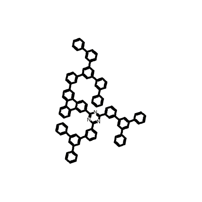 c1ccc(-c2cccc(-c3cc(-c4cccc(-c5ccccc5)c4)cc(-c4cccc(-c5ccc6c7ccccc7c7cc(-c8nc(-c9cccc(-c%10cc(-c%11ccccc%11)cc(-c%11ccccc%11)c%10)c9)nc(-c9cccc(-c%10cc(-c%11ccccc%11)cc(-c%11ccccc%11)c%10)c9)n8)ccc7c6c5)c4)c3)c2)cc1